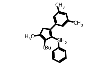 CC1=C(C(C)(C)C)C([SiH2]c2ccccc2)=C(c2cc(C)cc(C)c2)C1